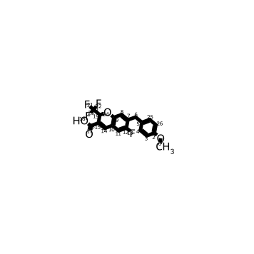 COc1ccc(Cc2cc3c(cc2F)C=C(C(=O)O)C(C(F)(F)F)O3)cc1